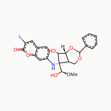 CO[C@@H](O)[C@@]1(Nc2ccc3cc(I)c(=O)oc3c2)C(O)[C@@H]2OC(c3ccccc3)OCC21